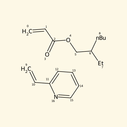 C=CC(=O)OCC(CC)CCCC.C=Cc1ccccn1